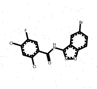 O=C(Nc1noc2ccc(Br)cc12)c1cc(F)c(Cl)cc1Cl